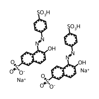 O=S(=O)([O-])c1ccc2c(N=Nc3ccc(S(=O)(=O)O)cc3)c(O)ccc2c1.O=S(=O)([O-])c1ccc2c(N=Nc3ccc(S(=O)(=O)O)cc3)c(O)ccc2c1.[Na+].[Na+]